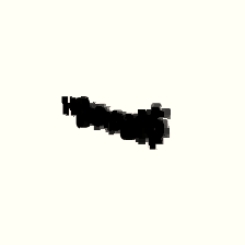 CC(C)c1nn(-c2noc(C3CCN(C4CCN(C(=O)CO)CC4)CC3)n2)c2c(F)c(F)ccc12